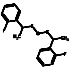 CC(SOSC(C)c1ccccc1F)c1ccccc1F